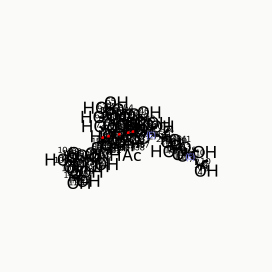 C=C[C@](C)(O)CC/C=C(\CO)C(=O)O[C@H]1[C@H](O)[C@@H](O)[C@H](O[C@@](C)(C=C)CC/C=C(\CO)C(=O)O[C@H]2C[C@]3(C(=O)O[C@@H]4O[C@H](CO)[C@@H](O)[C@H](O)[C@H]4O[C@@H]4O[C@@H](C)[C@H](O[C@@H]5O[C@@H](CO)[C@H](O)[C@H]5O)[C@@H](O[C@@H]5O[C@H](CO)[C@@H](O)[C@H](O)[C@H]5O)[C@H]4O)[C@H](O)C[C@]4(C)C(=CC[C@@H]5[C@@]6(C)CC[C@H](O[C@@H]7O[C@H](CO[C@@H]8O[C@H](C)[C@H](O)[C@H](O)[C@H]8O[C@@H]8OC[C@@H](O)[C@H](O)[C@H]8O)[C@@H](O)[C@H](O)[C@H]7NC(C)=O)C(C)(C)[C@@H]6CC[C@]54C)[C@@H]3CC2(C)C)O[C@@H]1C